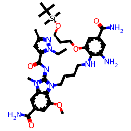 CCn1nc(C)cc1C(=O)/N=c1\n(C)c2cc(C(N)=O)cc(OC)c2n1C/C=C/CNc1c(N)cc(C(N)=O)cc1OCCCO[Si](C)(C)C(C)(C)C